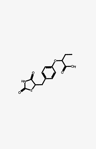 CCC(Oc1ccc(CC2SC(=O)NC2=O)cc1)C(=O)O